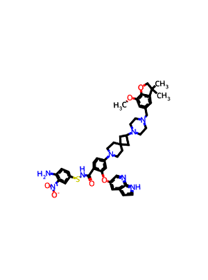 COc1cc(CN2CCN(C3CC4(CCN(c5ccc(C(=O)NSc6ccc(N)c([N+](=O)[O-])c6)c(Oc6cnc7[nH]ccc7c6)c5)CC4)C3)CC2)cc2c1OCC2(C)C